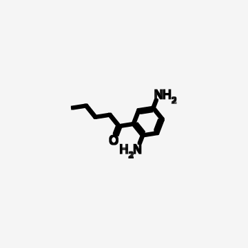 CCCCC(=O)c1cc(N)ccc1N